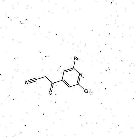 Cc1cc(C(=O)CC#N)cc(Br)n1